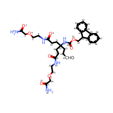 NC(=O)COCCNC(=O)CCC(CCC=O)(CCC(=O)NCCOCC(N)=O)NC(=O)OCC1c2ccccc2-c2ccccc21